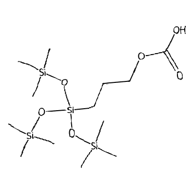 C[Si](C)(C)O[Si](CCCOC(=O)O)(O[Si](C)(C)C)O[Si](C)(C)C